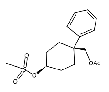 CC(=O)OC[C@]1(c2ccccc2)CC[C@H](OS(C)(=O)=O)CC1